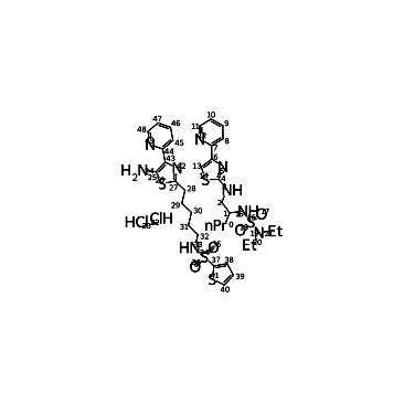 CCCC(CNc1nc(-c2ccccn2)cs1)NS(=O)(=O)N(CC)CC.Cl.Cl.Nc1sc(CCCCCNS(=O)(=O)c2cccs2)nc1-c1ccccn1